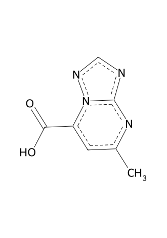 Cc1cc(C(=O)O)n2ncnc2n1